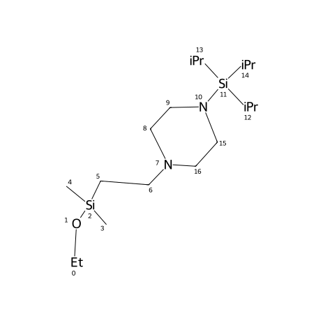 CCO[Si](C)(C)CCN1CCN([Si](C(C)C)(C(C)C)C(C)C)CC1